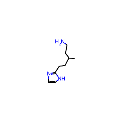 CC(CCN)CCc1ncc[nH]1